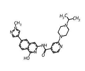 CC(C)N1CCN(c2cc(C(=O)Nc3cc4cc(-c5cnn(C)c5)ccc4c(O)n3)ccn2)CC1